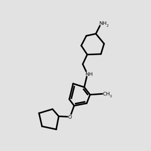 Cc1cc(OC2CCCC2)ccc1NCC1CCC(N)CC1